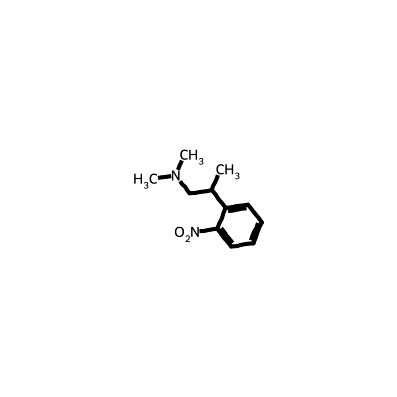 CC(CN(C)C)c1ccccc1[N+](=O)[O-]